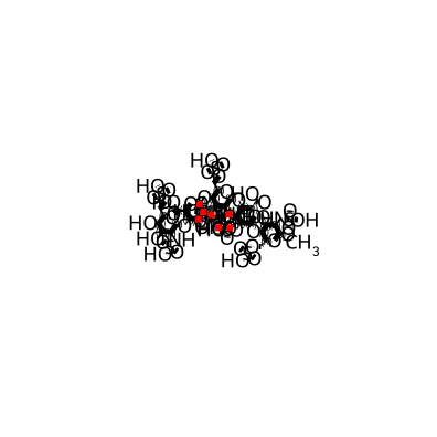 CO[C@H]1O[C@H](COS(=O)(=O)O)[C@@H](O[C@@H]2O[C@@H](C(=O)O)[C@@H](O[C@H]3O[C@H](COS(=O)(=O)O)[C@@H](O[C@@H]4O[C@H](C(=O)O)[C@@H](O[C@H]5O[C@H](COS(=O)(=O)O)[C@@H](O)[C@H](O)[C@H]5NS(=O)(=O)O)[C@H](O)[C@H]4O)[C@H](OS(=O)(=O)O)[C@H]3NS(=O)(=O)O)[C@H](O)[C@H]2OS(=O)(=O)O)[C@H](O)[C@H]1NS(=O)(=O)O